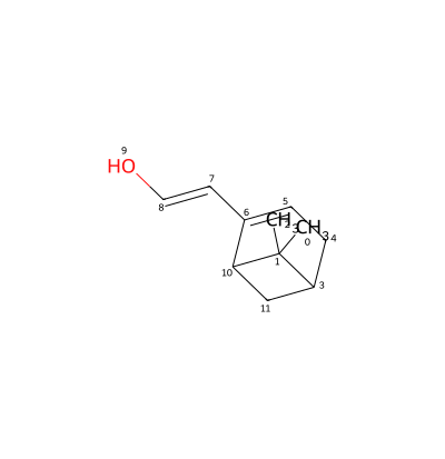 CC1(C)C2CC=C(C=CO)C1C2